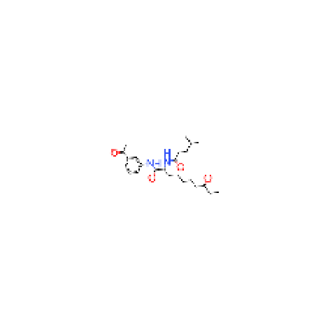 CCC(=O)CCCCCC(NC(=O)CCC(C)C)C(=O)Nc1cccc(C(C)=O)c1